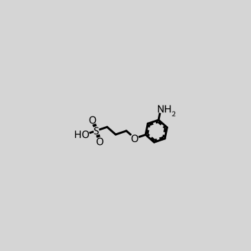 Nc1cccc(OCCCS(=O)(=O)O)c1